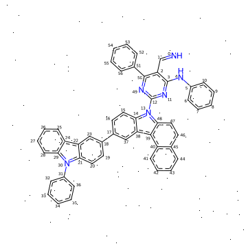 N=Cc1c(Nc2ccccc2)nc(-n2c3ccc(-c4ccc5c(c4)c4ccccc4n5-c4ccccc4)cc3c3c4ccccc4ccc32)nc1-c1ccccc1